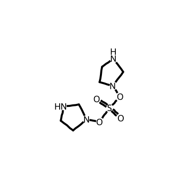 O=S(=O)(ON1CCNC1)ON1CCNC1